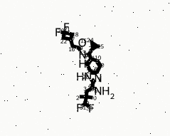 CC(C)(C[C@H](N)c1nc2ccc([C@H](NC(=O)CC3CC(F)(F)C3)C3CC3)cc2[nH]1)C(F)F